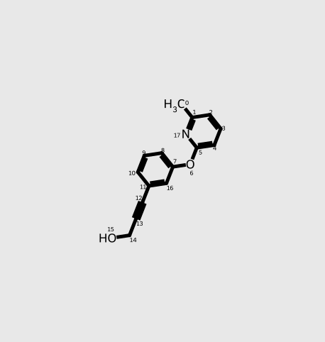 Cc1cccc(Oc2cccc(C#CCO)c2)n1